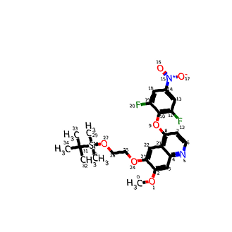 COc1cc2nccc(Oc3c(F)cc([N+](=O)[O-])cc3F)c2cc1OCCO[Si](C)(C)C(C)(C)C